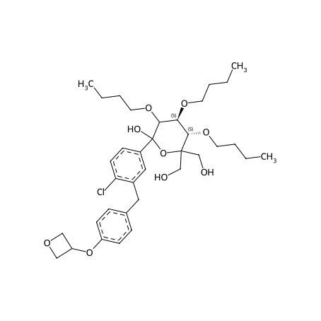 CCCCOC1[C@@H](OCCCC)[C@H](OCCCC)C(CO)(CO)OC1(O)c1ccc(Cl)c(Cc2ccc(OC3COC3)cc2)c1